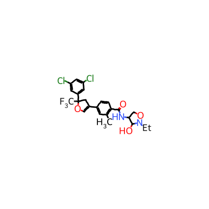 CCN1OCC(NC(=O)c2ccc(C3=COC(c4cc(Cl)cc(Cl)c4)(C(F)(F)F)C3)cc2C)C1O